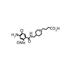 COc1cc(N)c(Cl)cc1C(=O)NCC1CCN(CCCC(=O)O)CC1